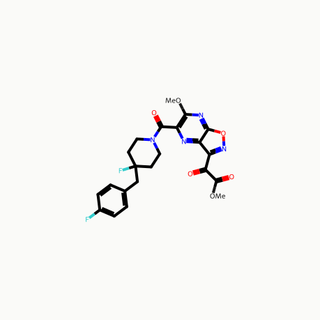 COC(=O)C(=O)c1noc2nc(OC)c(C(=O)N3CCC(F)(Cc4ccc(F)cc4)CC3)nc12